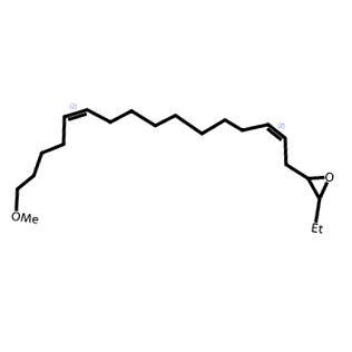 CCC1OC1C/C=C\CCCCCCC/C=C\CCCCOC